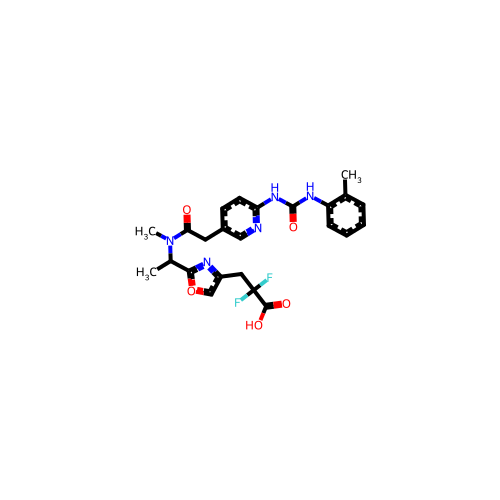 Cc1ccccc1NC(=O)Nc1ccc(CC(=O)N(C)C(C)c2nc(CC(F)(F)C(=O)O)co2)cn1